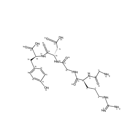 N=C(N)NCCC[C@H](NC(=O)CN)C(=O)NCC(=O)N[C@@H](CC(=O)O)C(=O)N[C@@H](Cc1ccc(O)cc1)C(=O)O